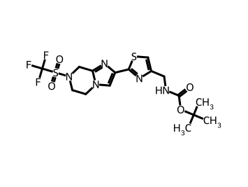 CC(C)(C)OC(=O)NCc1csc(-c2cn3c(n2)CN(S(=O)(=O)C(F)(F)F)CC3)n1